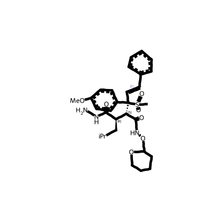 COc1ccc(C(/C=C/c2ccccc2)([C@H](C(=O)NOC2CCCCO2)[C@@H](CC(C)C)C(=O)NN)S(C)(=O)=O)cc1